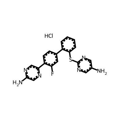 Cl.Nc1cnc(Sc2ccccc2-c2ccc(-c3cnc(N)cn3)c(F)c2)nc1